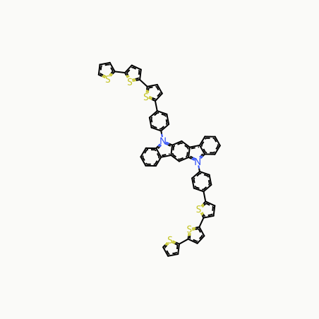 c1csc(-c2ccc(-c3ccc(-c4ccc(-n5c6ccccc6c6cc7c(cc65)c5ccccc5n7-c5ccc(-c6ccc(-c7ccc(-c8cccs8)s7)s6)cc5)cc4)s3)s2)c1